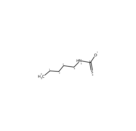 CCCCCNC([O])=S